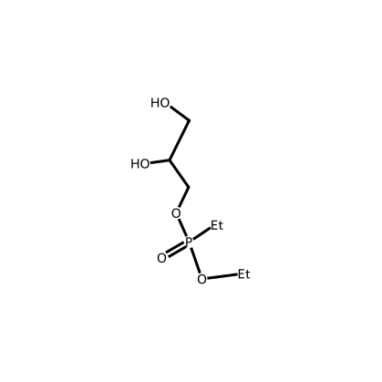 CCOP(=O)(CC)OCC(O)CO